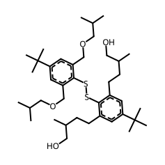 CC(C)COCc1cc(C(C)(C)C)cc(COCC(C)C)c1SSc1c(CCC(C)CO)cc(C(C)(C)C)cc1CCC(C)CO